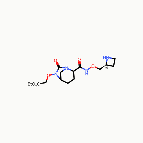 CCOC(=O)CON1C(=O)N2CC1CCC2C(=O)NOC[C@@H]1CCN1